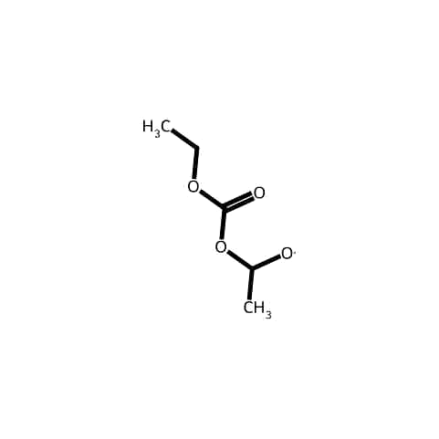 CCOC(=O)OC(C)[O]